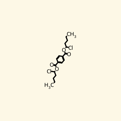 CCCCC(Cl)OC(=O)c1ccc(C(=O)OC(Cl)CCCC)cc1